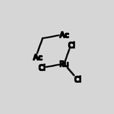 CC(=O)CC(C)=O.[Cl][Ru]([Cl])[Cl]